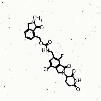 CN1Cc2cccc(COC(=O)NCc3cc(Cl)c4c(c3F)C(=O)N(C3CCC(=O)NC3=O)C4)c2C1=O